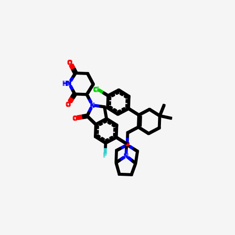 CC1(C)CCC(CN2CC3CCC(C2)N3Cc2cc3c(cc2F)C(=O)N(C2CCC(=O)NC2=O)C3)=C(c2ccc(Cl)cc2)C1